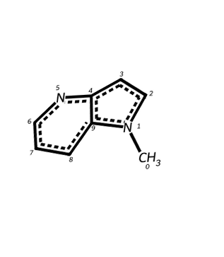 Cn1[c]cc2ncccc21